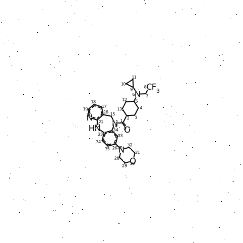 O=C(C1CCC(N(CC(F)(F)F)C2CC2)CC1)N1Cc2cccnc2Nc2ccc(N3CCOCC3)cc21